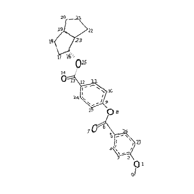 COc1ccc(C(=O)Oc2ccc(C(=O)O[C@@H]3CCC4CCCC43)cc2)cc1